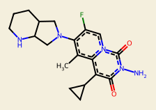 Cc1c(N2CC3CCCNC3C2)c(F)cn2c(=O)n(N)c(=O)c(C3CC3)c12